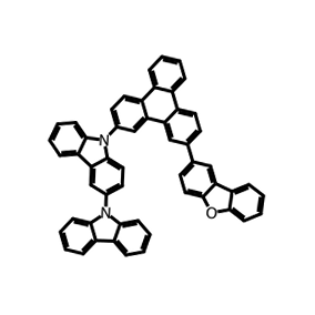 c1ccc2c(c1)oc1ccc(-c3ccc4c5ccccc5c5ccc(-n6c7ccccc7c7cc(-n8c9ccccc9c9ccccc98)ccc76)cc5c4c3)cc12